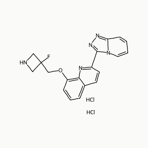 Cl.Cl.FC1(COc2cccc3ccc(-c4nnc5ccccn45)nc23)CNC1